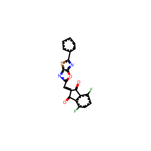 O=C1C(=Cc2nc3sc(-c4ccccc4)nc3o2)C(=O)c2c(F)ccc(F)c21